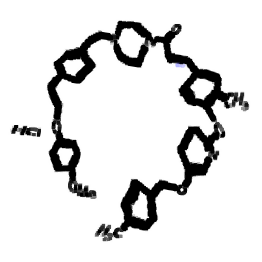 COc1ccc(OCCc2ccc(CN3CCN(C(=O)/C=C/c4ccc(Oc5ccc(OCc6ccc(C)cc6)cn5)c(C)c4)CC3)cc2)cc1.Cl